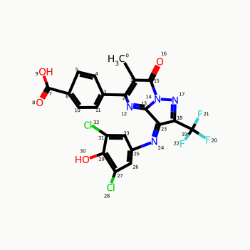 Cc1c(-c2ccc(C(=O)O)cc2)nc2n(c1=O)N=C(C(F)(F)F)C2=Nc1cc(Cl)c(O)c(Cl)c1